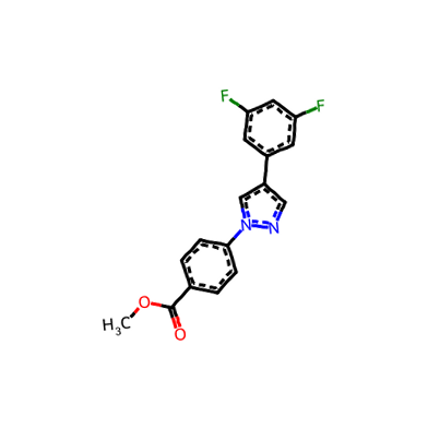 COC(=O)c1ccc(-n2cc(-c3cc(F)cc(F)c3)cn2)cc1